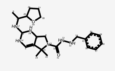 CC(NC1NC=C2C(CN(C(=O)NNCc3ccccc3)C2(C)C)N1)C1CCCO1